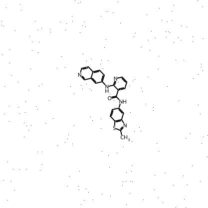 Cc1nc2cc(NC(=O)c3cccnc3Nc3ccc4ccncc4c3)ccc2s1